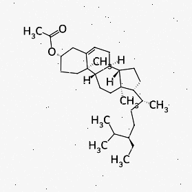 CC[C@H](CC[C@@H](C)[C@H]1CC[C@H]2[C@@H]3CC=C4C[C@@H](OC(C)=O)CC[C@]4(C)[C@H]3CC[C@]12C)C(C)C